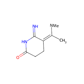 CN/C(C)=C1/CCC(=O)NC1=N